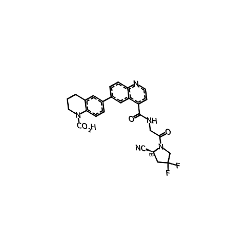 N#C[C@@H]1CC(F)(F)CN1C(=O)CNC(=O)c1ccnc2ccc(-c3ccc4c(c3)CCCN4C(=O)O)cc12